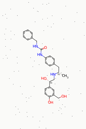 C[C@@H](Cc1ccc(NC(=O)NCc2ccccc2)cc1)NC[C@@H](O)c1ccc(O)c(CO)c1